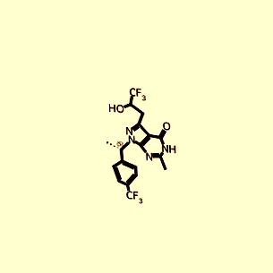 Cc1nc2c(c(CC(O)C(F)(F)F)nn2[C@@H](C)c2ccc(C(F)(F)F)cc2)c(=O)[nH]1